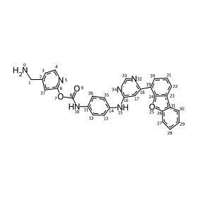 NCc1ccnc(OC(=O)Nc2ccc(Nc3cc(-c4cccc5c4oc4ccccc45)ncn3)cc2)c1